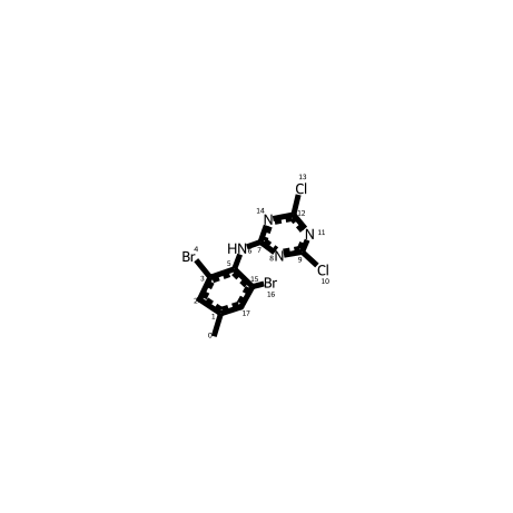 Cc1cc(Br)c(Nc2nc(Cl)nc(Cl)n2)c(Br)c1